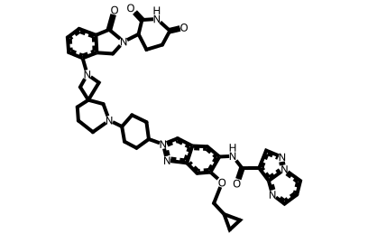 O=C1CCC(N2Cc3c(cccc3N3CC4(CCCN(C5CCC(n6cc7cc(NC(=O)c8cnn9cccnc89)c(OCC8CC8)cc7n6)CC5)C4)C3)C2=O)C(=O)N1